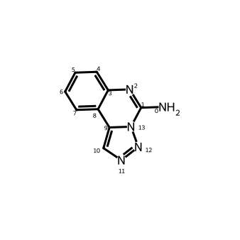 Nc1nc2ccccc2c2cnnn12